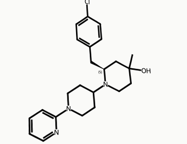 CC1(O)CCN(C2CCN(c3ccccn3)CC2)[C@@H](Cc2ccc(Cl)cc2)C1